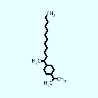 C=C(CCCCCCCCCCC)C1CCC(C(C)C)CC1